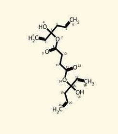 C=CCC(O)(C=C)OC(=O)CCC(=O)OC(O)(C=C)CC=C